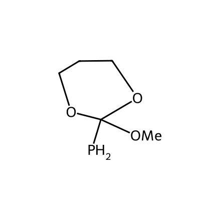 COC1(P)OCCCO1